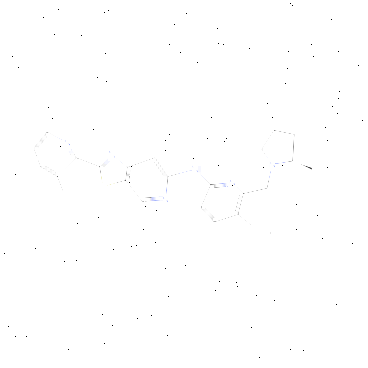 Cc1ccc(Nc2cc3nc(-c4ncccc4C)sc3cn2)nc1CN1CCC[C@H]1C